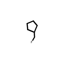 FC[C]1CCCC1